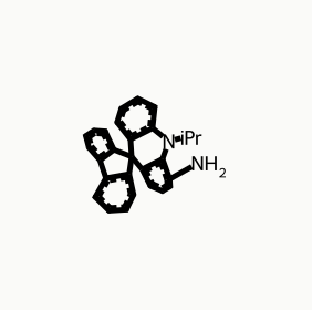 CC(C)N1c2ccccc2C2(c3ccccc3-c3ccccc32)c2cccc(N)c21